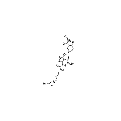 COC(=O)c1c(OCc2ccc(F)c(C(=O)NC3CC3)c2)nsc1NC(=O)NCCCCN1CC[C@@H](O)C1